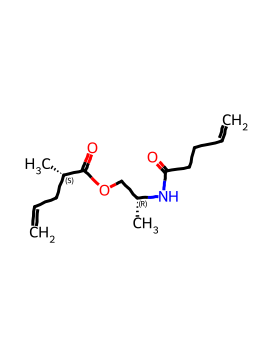 C=CCCC(=O)N[C@H](C)COC(=O)[C@@H](C)CC=C